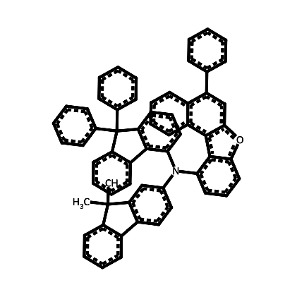 CC1(C)c2ccccc2-c2ccc(N(c3cccc4c3-c3ccccc3C4(c3ccccc3)c3ccccc3)c3cccc4oc5cc(-c6ccccc6)c6ccccc6c5c34)cc21